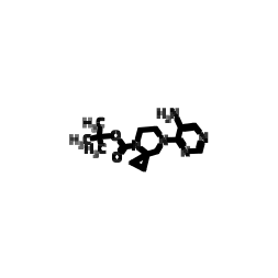 CC(C)(C)OC(=O)N1CCN(c2ncncc2N)CC12CC2